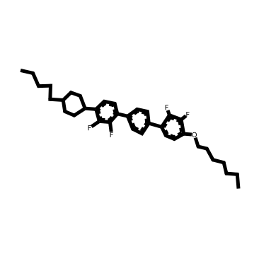 CCCCCCCOc1ccc(-c2ccc(-c3ccc(C4CCC(CCCCC)CC4)c(F)c3F)cc2)c(F)c1F